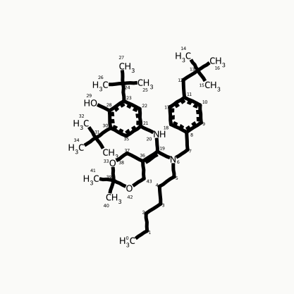 CCCCCCN(Cc1ccc(CC(C)(C)C)cc1)C(Nc1cc(C(C)(C)C)c(O)c(C(C)(C)C)c1)=C1COC(C)(C)OC1